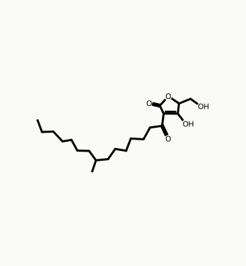 CCCCCCCC(C)CCCCCCC(=O)C1=C(O)C(CO)OC1=O